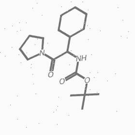 CC(C)(C)OC(=O)NC(C(=O)N1CCCC1)C1CCCCC1